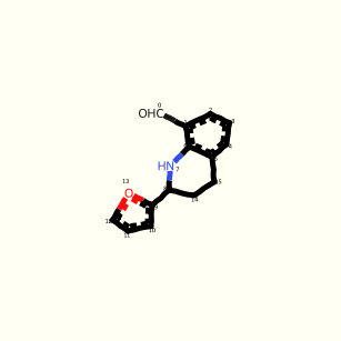 O=Cc1cccc2c1NC(c1ccco1)CC2